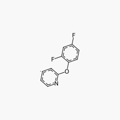 Fc1ccc(Oc2c[c]ccn2)c(F)c1